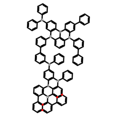 c1ccc(-c2cccc(N3c4cc(-c5ccccc5)ccc4B4c5ccc(N(c6ccccc6)c6ccccc6)cc5N(c5cccc(-c6cccc(N(c7ccccc7)c7ccc8c(c7)N(c7ccccc7)c7cccc9c7B8c7cccc(-c8ccccc8)c7N9c7ccccc7-c7ccccc7)c6)c5)c5cccc3c54)c2)cc1